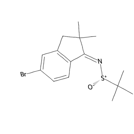 CC1(C)Cc2cc(Br)ccc2/C1=N\[S@@+]([O-])C(C)(C)C